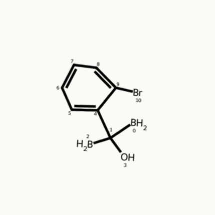 BC(B)(O)c1ccccc1Br